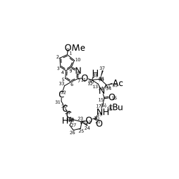 COc1ccc2cc3c(nc2c1)O[C@H]1CN(C(=O)[C@H](C(C)(C)C)NC(=O)O[C@]2(C)CCC[C@H]2CCCCC3)[C@H](C(C)=O)[C@@H]1C